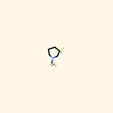 CN1CC[CH][C@H](F)C1